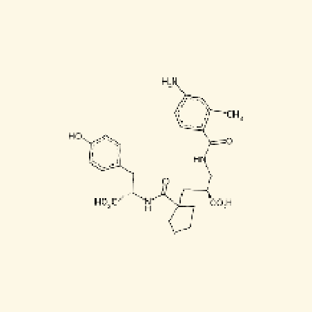 Cc1cc(N)ccc1C(=O)NC[C@H](CC1(C(=O)N[C@@H](Cc2ccc(O)cc2)C(=O)O)CCCC1)C(=O)O